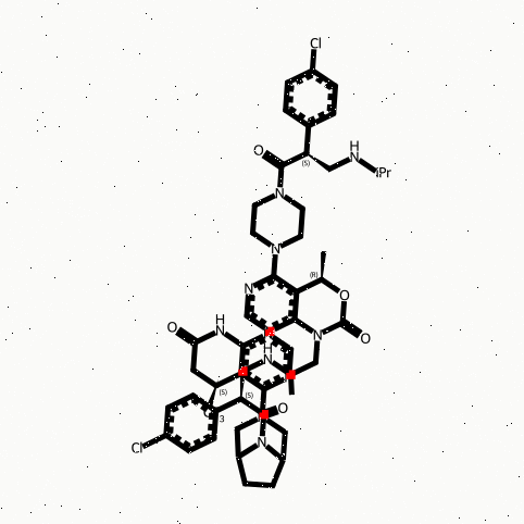 CC(C)NC[C@@H](C(=O)N1CCN(c2ncnc3c2[C@@H](C)OC(=O)N3CC(C)NC[C@@H](C(=O)N2C3CCC2CN(c2ncnc4c2[C@@H](C(F)(F)F)CC(=O)N4)C3)c2ccc(Cl)cc2)CC1)c1ccc(Cl)cc1